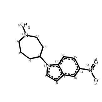 CN1CCCC(n2ccc3cc([N+](=O)[O-])ccc32)CC1